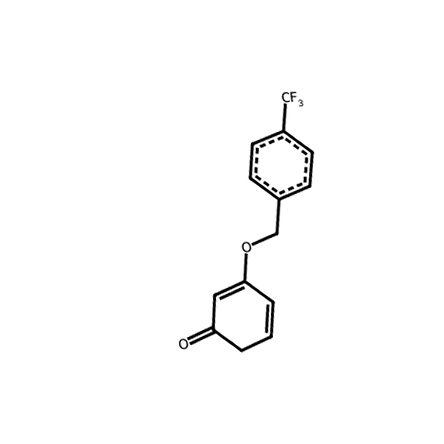 O=C1C=C(OCc2ccc(C(F)(F)F)cc2)C=CC1